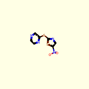 O=[N+]([O-])c1cnc(Sc2cnccn2)s1